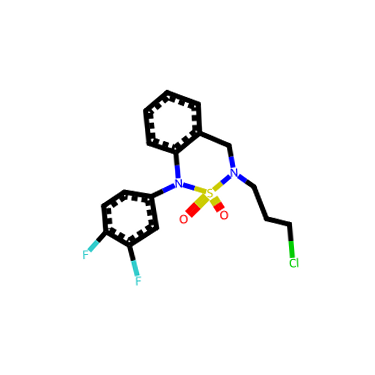 O=S1(=O)N(CCCCl)Cc2ccccc2N1c1ccc(F)c(F)c1